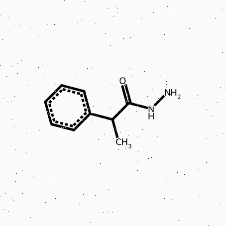 CC(C(=O)NN)c1ccccc1